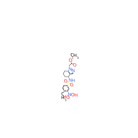 CCOC(=O)Cn1ncc2c1CCCC2NS(=O)(=O)c1ccc(C)c(N(O)O)c1